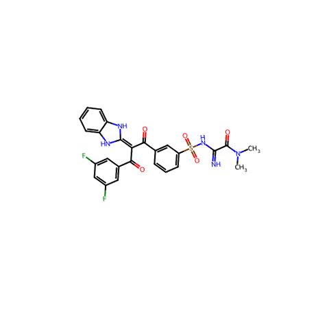 CN(C)C(=O)C(=N)NS(=O)(=O)c1cccc(C(=O)C(C(=O)c2cc(F)cc(F)c2)=C2Nc3ccccc3N2)c1